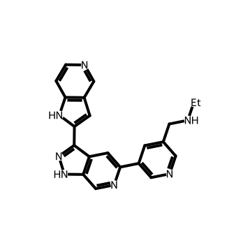 CCNCc1cncc(-c2cc3c(-c4cc5cnccc5[nH]4)n[nH]c3cn2)c1